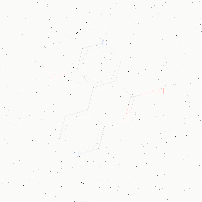 COc1c(C)ncc(C(=O)O)c1-c1ccnc(Cl)c1